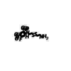 NCCSSCCNc1cc(F)c([N+](=O)[O-])cc1[N+](=O)[O-]